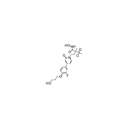 CC(CCn1ccc(-c2ccc(OCCCO)c(F)c2)cc1=O)(C(=O)NO)S(C)(=O)=O